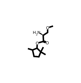 COC[C@H](N)C(=O)OC1C(C)CCC1(C)C